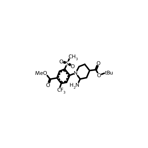 COC(=O)c1cc(S(C)(=O)=O)c(N2CCC(C(=O)OC(C)(C)C)CC2N)cc1C(F)(F)F